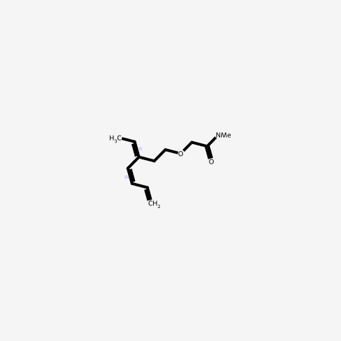 C=C/C=C\C(=C/C)CCOCC(=O)NC